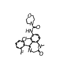 CN1C(=O)CN=C(c2ccccc2F)c2c1ccc(NC(=O)N1CCOCC1)c2Cl